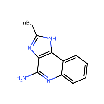 CCCCc1nc2c(N)nc3ccccc3c2[nH]1